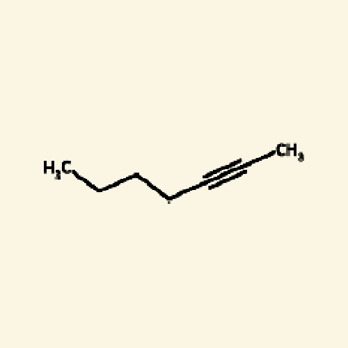 CC#C[CH]CCC